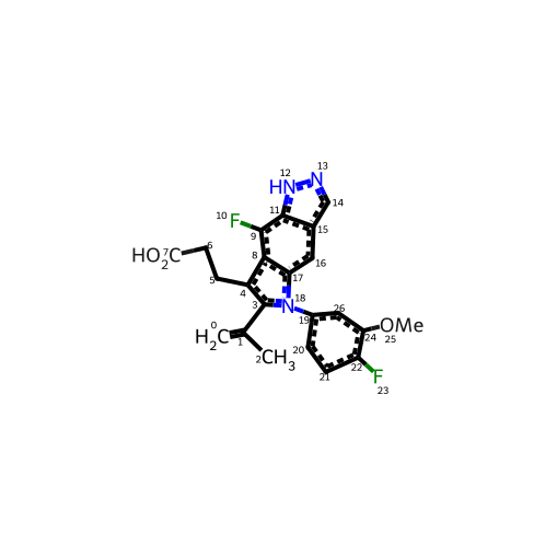 C=C(C)c1c(CCC(=O)O)c2c(F)c3[nH]ncc3cc2n1-c1ccc(F)c(OC)c1